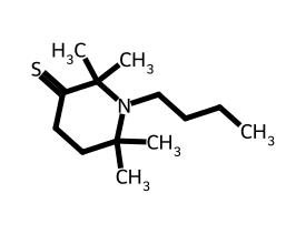 CCCCN1C(C)(C)CCC(=S)C1(C)C